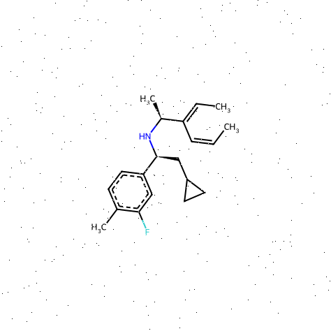 C/C=C\C(=C/C)[C@H](C)N[C@@H](CC1CC1)c1ccc(C)c(F)c1